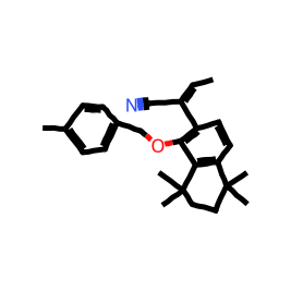 C/C=C(/C#N)c1ccc2c(c1OCc1ccc(C)cc1)C(C)(C)CCC2(C)C